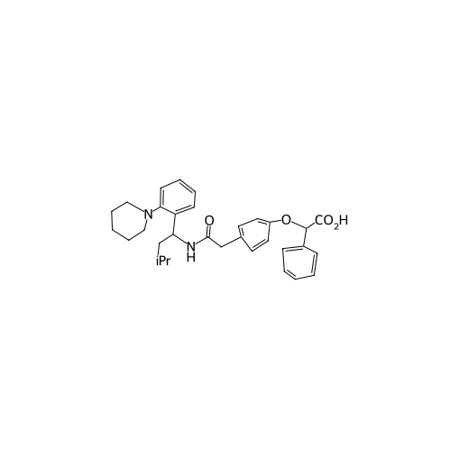 CC(C)CC(NC(=O)Cc1ccc(OC(C(=O)O)c2ccccc2)cc1)c1ccccc1N1CCCCC1